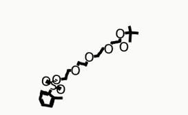 Cc1ccccc1S(=O)(=O)OCCOCCOCCOCC(=O)OC(C)(C)C